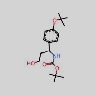 CC(C)(C)OC(=O)N[C@@H](CCO)c1ccc(OC(C)(C)C)cc1